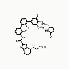 COc1cc(-c2cccc(-c3cccc(NC(=O)c4cc5n(n4)CCC[C@H]5NCC(=O)O)c3Cl)c2Cl)cc(F)c1CNC[C@@H]1CCC(=O)N1